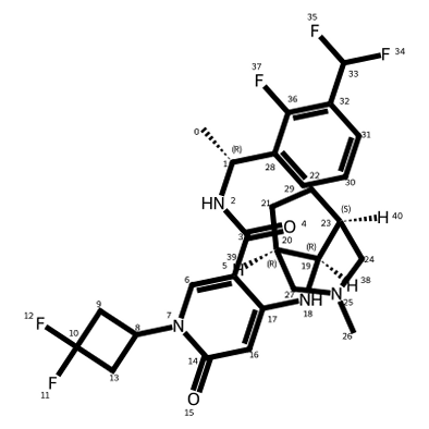 C[C@@H](NC(=O)c1cn(C2CC(F)(F)C2)c(=O)cc1N[C@H]1[C@@H]2CC[C@H]1CN(C)C2)c1cccc(C(F)F)c1F